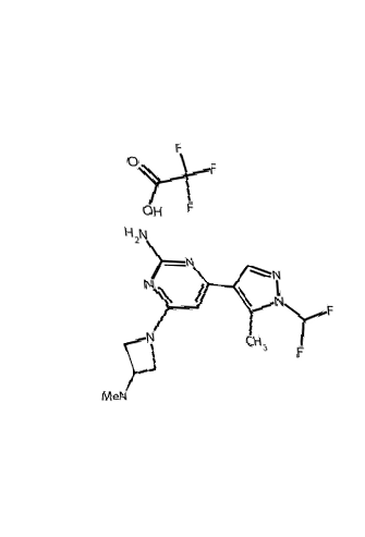 CNC1CN(c2cc(-c3cnn(C(F)F)c3C)nc(N)n2)C1.O=C(O)C(F)(F)F